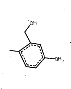 Bc1ccc(C)c(CO)c1